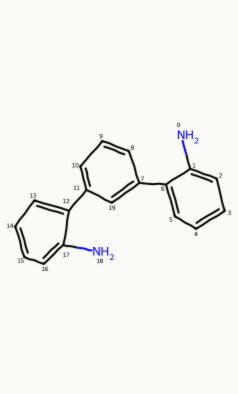 Nc1ccccc1-c1cccc(-c2ccccc2N)c1